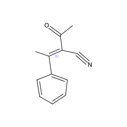 CC(=O)/C(C#N)=C(\C)c1ccccc1